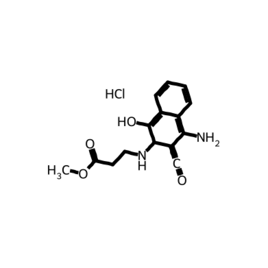 COC(=O)CCNC1C(=C=O)C(N)=c2ccccc2=C1O.Cl